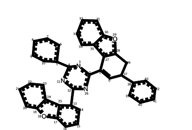 C1=C(c2nc(-c3ccccc3)nc(-c3cccc4oc5ccccc5c34)n2)c2c(oc3ccccc23)CC1c1ccccc1